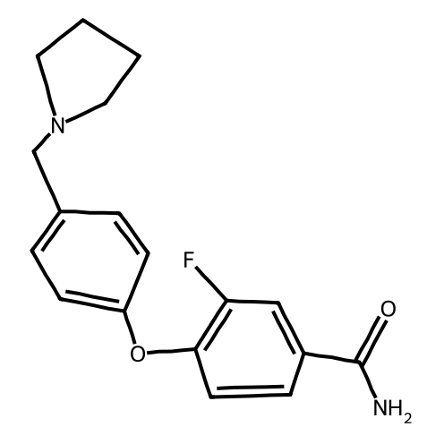 NC(=O)c1ccc(Oc2ccc(CN3CCCC3)cc2)c(F)c1